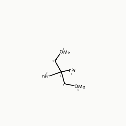 CCCC(CCC)(COC)COC